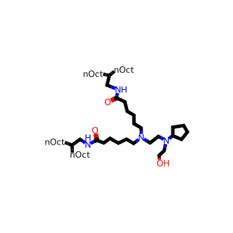 CCCCCCCCC(CCCCCCCC)CNC(=O)CCCCCN(CCCCCC(=O)NCC(CCCCCCCC)CCCCCCCC)CCN(CCO)C1CCCC1